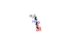 CCCCNC(=O)COCC(=O)O